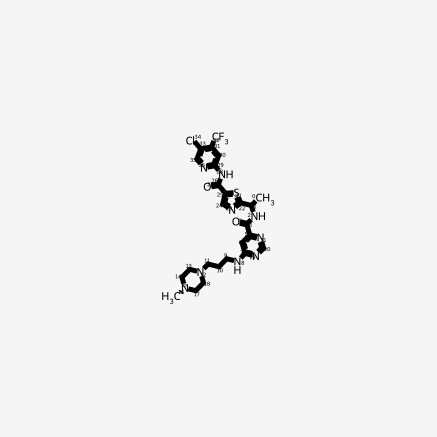 CC(NC(=O)c1cc(NCCCN2CCN(C)CC2)ncn1)c1ncc(C(=O)Nc2cc(C(F)(F)F)c(Cl)cn2)s1